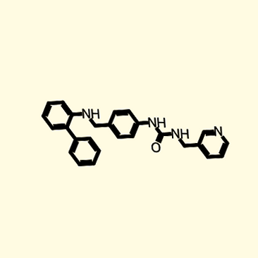 O=C(NCc1cccnc1)Nc1ccc(CNc2ccccc2-c2ccccc2)cc1